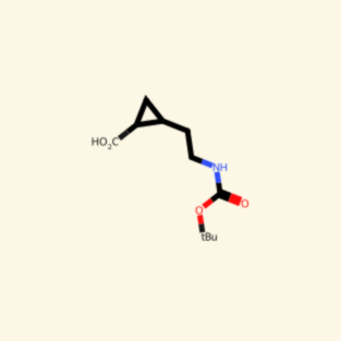 CC(C)(C)OC(=O)NCCC1CC1C(=O)O